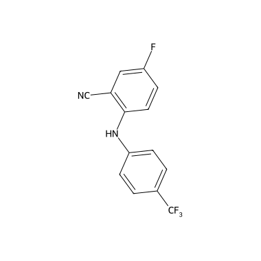 N#Cc1cc(F)ccc1Nc1ccc(C(F)(F)F)cc1